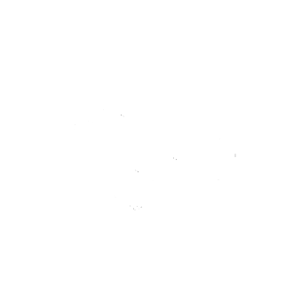 CNC(=O)C(Cc1c[nH]c2ccccc12)NC(=O)C(CC(C)C)NS(=O)(=O)CO